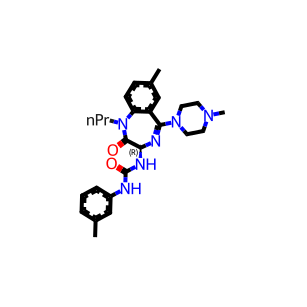 CCCN1C(=O)[C@H](NC(=O)Nc2cccc(C)c2)N=C(N2CCN(C)CC2)c2cc(C)ccc21